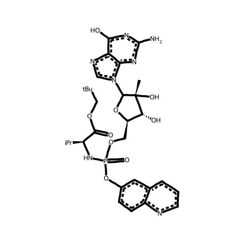 CC(C)[C@H](NP(=O)(OC[C@H]1OC(n2cnc3c(O)nc(N)nc32)[C@](C)(O)[C@@H]1O)Oc1ccc2ncccc2c1)C(=O)OCC(C)(C)C